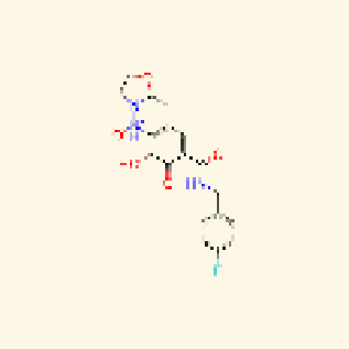 O=C(NCc1ccc(F)cc1)C1=CC2=C(C(O)C1=O)[NH+]([O-])N1CCOC1C2